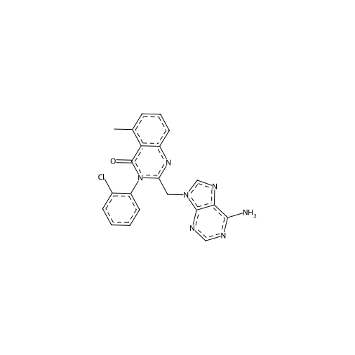 Cc1cccc2nc(Cn3cnc4c(N)ncnc43)n(-c3ccccc3Cl)c(=O)c12